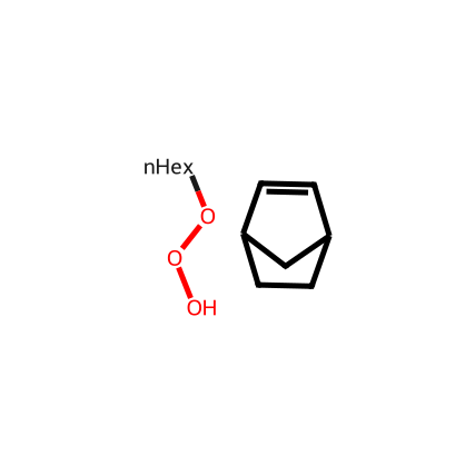 C1=CC2CCC1C2.CCCCCCOOO